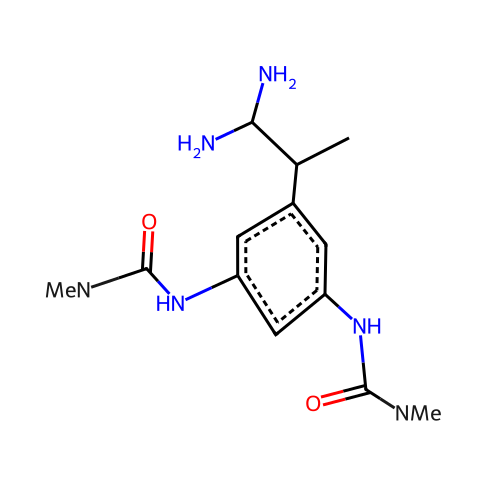 CNC(=O)Nc1cc(NC(=O)NC)cc(C(C)C(N)N)c1